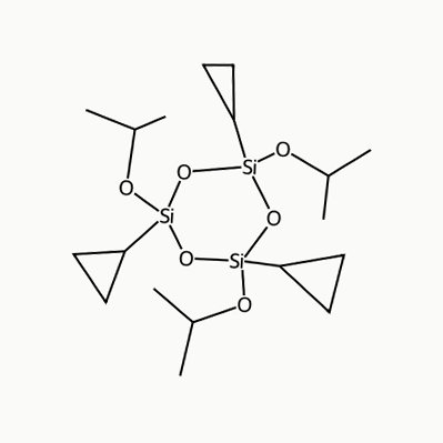 CC(C)O[Si]1(C2CC2)O[Si](OC(C)C)(C2CC2)O[Si](OC(C)C)(C2CC2)O1